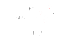 CCCCC(CC)COC(=O)C12CCC(C(=O)O)CC1O2